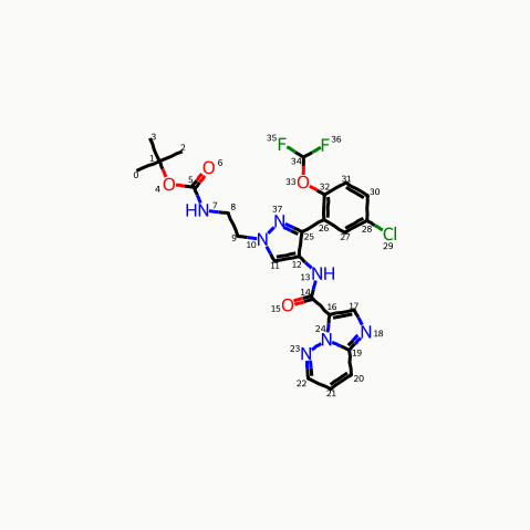 CC(C)(C)OC(=O)NCCn1cc(NC(=O)c2cnc3cccnn23)c(-c2cc(Cl)ccc2OC(F)F)n1